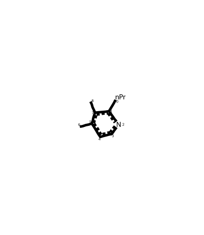 CCCc1nccc(C)c1C